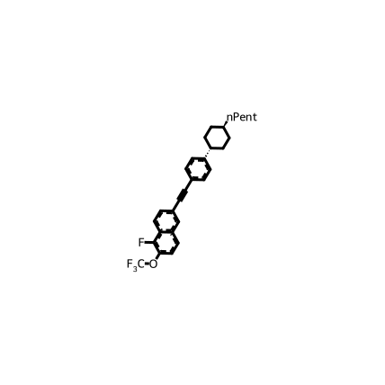 CCCCC[C@H]1CC[C@H](c2ccc(C#Cc3ccc4c(F)c(OC(F)(F)F)ccc4c3)cc2)CC1